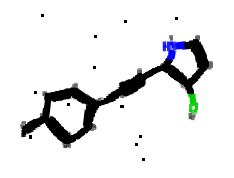 Cc1ccc(C#Cc2[nH]ccc2Cl)cc1